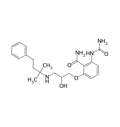 CC(C)(CCc1ccccc1)NCC(O)COc1cccc(NC(N)=O)c1C(N)=O